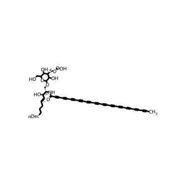 CC#CC#CC#CC#CC#CC#CC#CC#CC#CC#CC#CC#CC(=O)N[C@@H](COC1OC(CO)C(O)C(SOOO)C1O)[C@H](O)/C=C/CCCCCCCCCCCCC